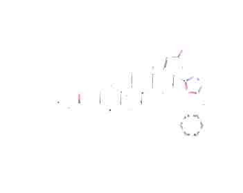 CC(C)C1=C2[C@H]3CC[C@H]4C(C)(CC[C@H]5C(C)(C)C(OC(=O)CC(C)(C)C(=O)O)CC[C@@]54C)[C@]3(C)CC[C@@]2(c2nnc(Cc3ccc(Cl)cc3)o2)CC1=O